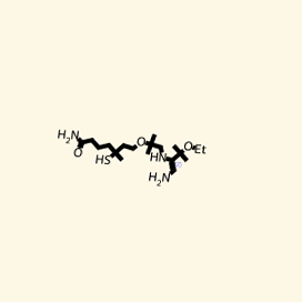 CCOC(C)(C)/C(=C/N)NCC(C)(C)OCCC(C)(S)CCCC(N)=O